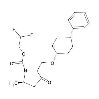 C[C@@H]1CC(=O)C(CO[C@H]2CC[C@@H](c3ccccc3)CC2)N1C(=O)OCC(F)F